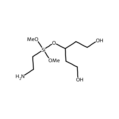 CO[Si](CCN)(OC)OC(CCO)CCO